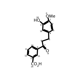 COc1ccc(CCC(=O)c2cccc(C(=O)O)c2)cc1O